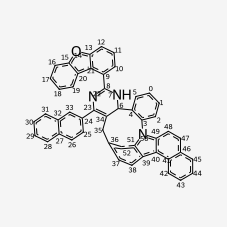 c1ccc2c(c1)C1NC(c3cccc4oc5ccccc5c34)=NC(c3ccc4ccccc4c3)=C1Cc1ccc3c4c5ccccc5ccc4n-2c3c1